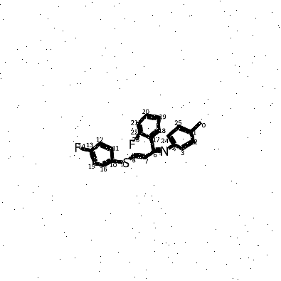 Cc1ccc(N=C(C=CSc2ccc(F)cc2)c2ccccc2F)cc1